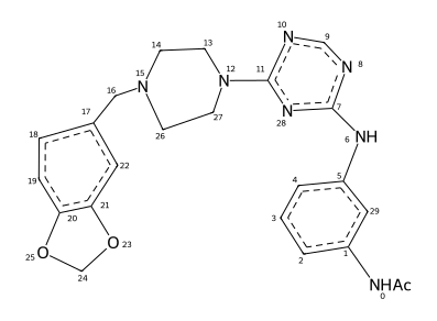 CC(=O)Nc1cccc(Nc2ncnc(N3CCN(Cc4ccc5c(c4)OCO5)CC3)n2)c1